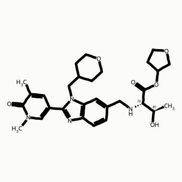 Cc1cc(-c2nc3ccc(CN[C@H](C(=O)OC4CCOC4)[C@@H](C)O)cc3n2CC2CCOCC2)cn(C)c1=O